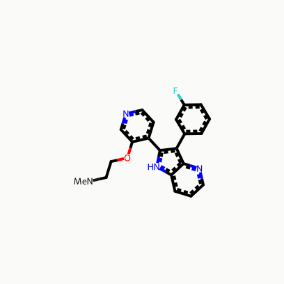 CNCCOc1cnccc1-c1[nH]c2cccnc2c1-c1cccc(F)c1